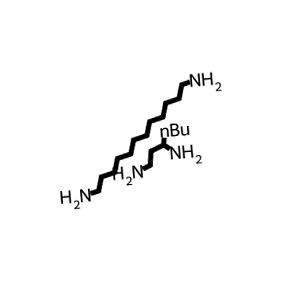 CCCCC(N)CCN.NCCCCCCCCCCCCN